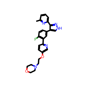 Cc1cccc(-c2n[nH]cc2-c2ccc(F)c(-c3ccc(OCCN4CCOCC4)cn3)c2)n1